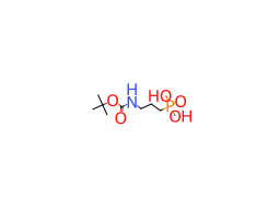 CC(C)(C)OC(=O)NCCCP(=O)(O)O